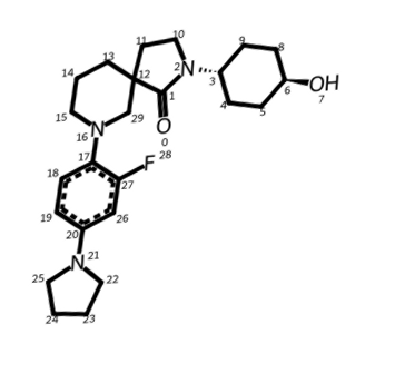 O=C1N([C@H]2CC[C@H](O)CC2)CCC12CCCN(c1ccc(N3CCCC3)cc1F)C2